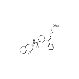 COCCCCC(c1ccccc1)C1CCCN(C(=O)N[C@H](CN)CC2CCCCC2)C1